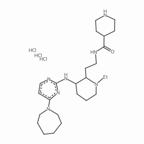 CCN1CCCC(Nc2nccc(N3CCCCCC3)n2)C1CCNC(=O)C1CCNCC1.Cl.Cl.Cl